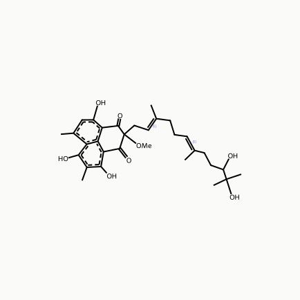 COC1(C/C=C(\C)CC/C=C(\C)CCC(O)C(C)(C)O)C(=O)c2c(O)cc(C)c3c(O)c(C)c(O)c(c23)C1=O